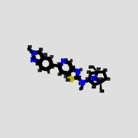 CN(c1nc2cnc(-c3ccc4nn(C)cc4c3)cc2s1)C1C[C@]2(C)CC[C@](C)(C1)N2